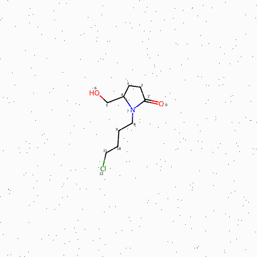 O=C1CCC(CO)N1CCCCCl